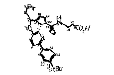 CC(C)CC(Oc1ccc(-c2ccc(C(C)(C)C)cc2)nc1)c1ccc(C(=O)NCCC(=O)O)s1